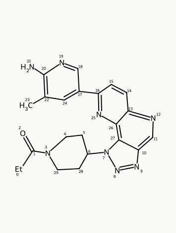 CCC(=O)N1CCC(n2nnc3cnc4ccc(-c5cnc(N)c(C)c5)nc4c32)CC1